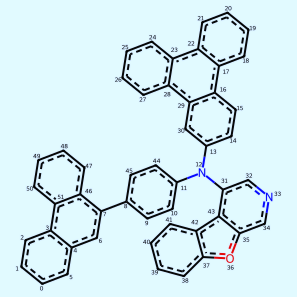 c1ccc2c(c1)cc(-c1ccc(N(c3ccc4c5ccccc5c5ccccc5c4c3)c3cncc4oc5ccccc5c34)cc1)c1ccccc12